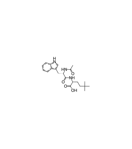 CC(=O)N[C@@H](Cc1c[nH]c2ccccc12)C(=O)NC(CCC(C)(C)C)C(=O)O